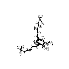 CC(C)(C)CCCCCc1cc(CCCCCC2(C)CC2)cc(O)c1O